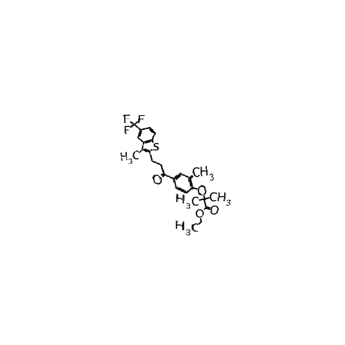 CCOC(=O)C(C)(C)Oc1ccc(C(=O)CCc2sc3ccc(C(F)(F)F)cc3c2C)cc1C